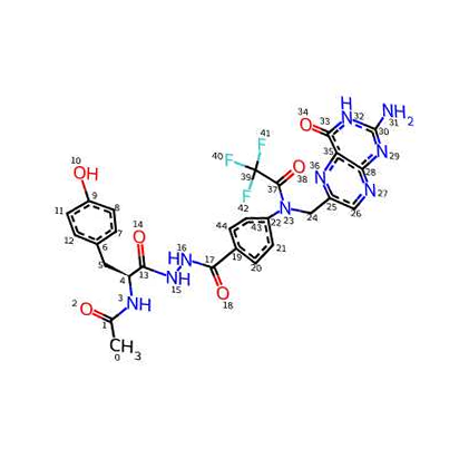 CC(=O)N[C@@H](Cc1ccc(O)cc1)C(=O)NNC(=O)c1ccc(N(Cc2cnc3nc(N)[nH]c(=O)c3n2)C(=O)C(F)(F)F)cc1